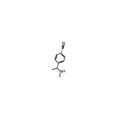 [CH2]NC(C)c1ccc(C#N)cc1